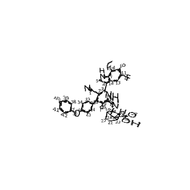 N#Cc1c(-c2c[nH]c3c(F)cc(F)cc23)nc(NC2C3CCC(CC3)[C@H]2C(=O)O)c(F)c1-c1ccc(Oc2ccccc2)cc1